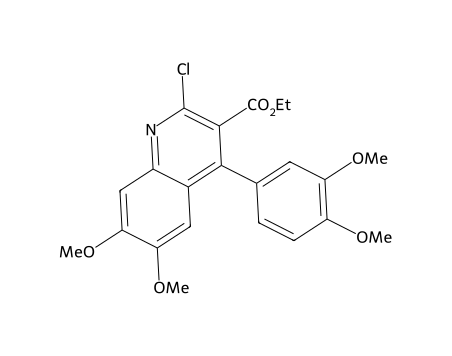 CCOC(=O)c1c(Cl)nc2cc(OC)c(OC)cc2c1-c1ccc(OC)c(OC)c1